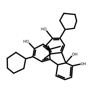 Cc1cc(O)c(C2CCCCC2)cc1C1[C]=CC=C(O)C1(O)c1cc(C2CCCCC2)c(O)cc1C